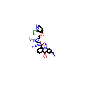 CCN(CCNC(=O)C1=CC=CC2C(=O)c3cc(I)ccc3NC12)CCOc1cccnc1F